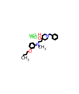 CCCCOc1cccc(N(C)CCC2(O)CCN(Cc3ccccc3)CC2)c1.Cl.Cl